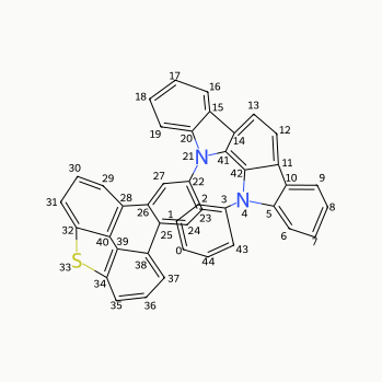 c1ccc(-n2c3ccccc3c3ccc4c5ccccc5n(-c5ccc6c(c5)c5cccc7sc8cccc6c8c75)c4c32)cc1